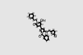 O=C(c1ccccc1)n1nc(-c2cc(O)n(CCc3ccccn3)c(=O)c2)cc1NCc1ccc(Cl)s1